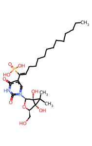 CCCCCCCCCCCC/C=C(/c1cn([C@@H]2O[C@H](CO)[C@@]3(O)C(C)(C)[C@@]23O)c(=O)[nH]c1=O)P(=O)(O)O